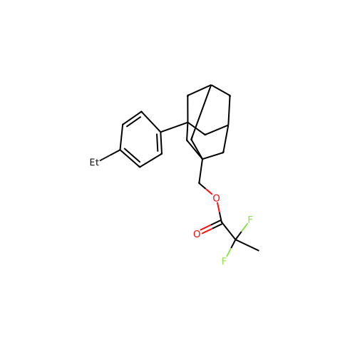 CCc1ccc(C23CC4CC(CC(COC(=O)C(C)(F)F)(C4)C2)C3)cc1